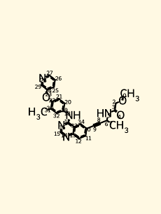 COCC(=O)NC(C)C#Cc1ccc2ncnc(Nc3ccc(Oc4cccnc4)c(C)c3)c2c1